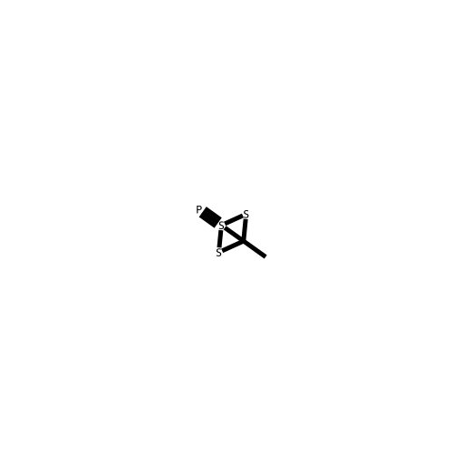 CC12SS1(#P)S2